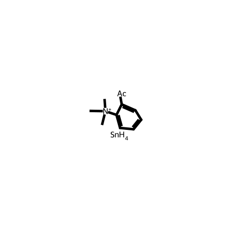 CC(=O)c1ccccc1[N+](C)(C)C.[SnH4]